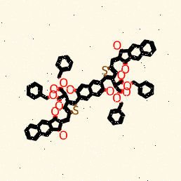 O=C1C(=Cc2cc3c(s2)C2=CC4C=C5OC(C(=O)OCc6ccccc6)(C(=O)OCc6ccccc6)c6cc(C=C7C(=O)c8cc9ccccc9cc8C7=O)sc6C5=CC4C=C2OC3(C(=O)OCc2ccccc2)C(=O)OCc2ccccc2)C(=O)c2cc3ccccc3cc21